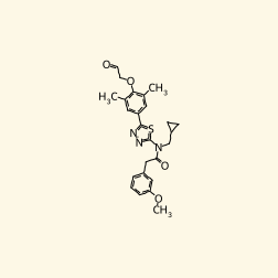 COc1cccc(CC(=O)N(CC2CC2)c2nnc(-c3cc(C)c(OCC=O)c(C)c3)s2)c1